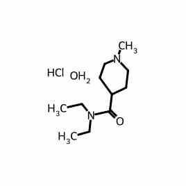 CCN(CC)C(=O)C1CCN(C)CC1.Cl.O